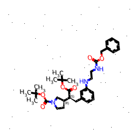 CC(C)(C)OC(=O)[C@@H](Cc1cccc(NCCNC(=O)OCc2ccccc2)c1)[C@H]1CCN(C(=O)OC(C)(C)C)C1